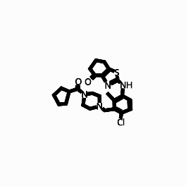 Cc1c(Nc2nc3c(s2)CCCC3=O)ccc(Cl)c1CN1CCN(C(=O)C2CCCC2)CC1